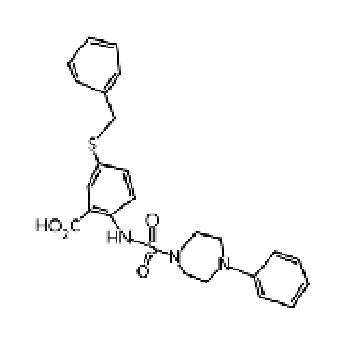 O=C(O)c1cc(SCc2ccccc2)ccc1NS(=O)(=O)N1CCN(c2ccccc2)CC1